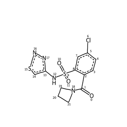 O=C(c1ccc(Cl)cc1S(=O)(=O)Nc1csnn1)N1CCC1